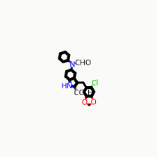 O=CN(c1ccccc1)c1ccc2[nH]c(C(=O)O)c(Cc3cc4c(cc3Cl)OCO4)c2c1